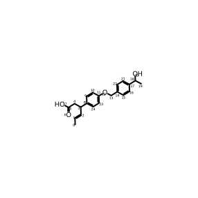 CC=CC(CC(=O)O)c1ccc(OCc2ccc(C(C)O)cc2)cc1